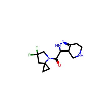 O=C(c1[nH]nc2c1CNCC2)N1CC(F)(F)CC12CC2